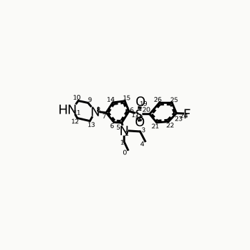 CCN(CC)c1cc(N2CCNCC2)ccc1S(=O)(=O)c1ccc(F)cc1